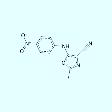 Cc1nc(C#N)c(Nc2ccc([N+](=O)[O-])cc2)o1